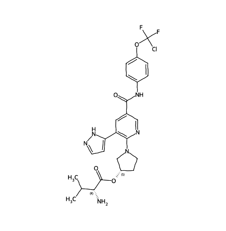 CC(C)[C@@H](N)C(=O)O[C@H]1CCN(c2ncc(C(=O)Nc3ccc(OC(F)(F)Cl)cc3)cc2-c2ccn[nH]2)C1